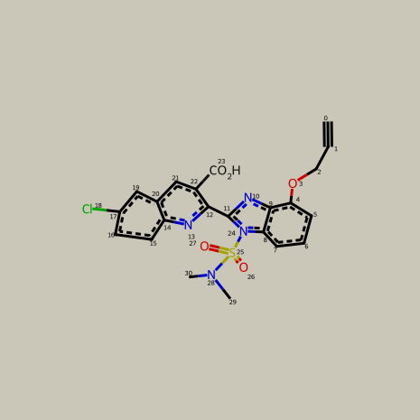 C#CCOc1cccc2c1nc(-c1nc3ccc(Cl)cc3cc1C(=O)O)n2S(=O)(=O)N(C)C